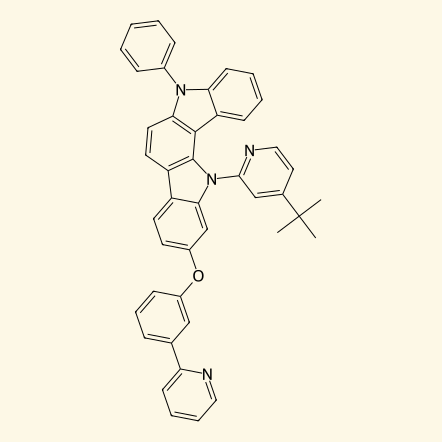 CC(C)(C)c1ccnc(-n2c3cc(Oc4cccc(-c5ccccn5)c4)ccc3c3ccc4c(c5ccccc5n4-c4ccccc4)c32)c1